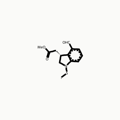 COC(=O)C[C@H]1CN(SI)c2cccc(C=O)c21